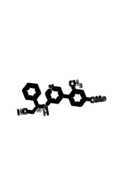 COc1ccc(-c2cncc(N[C@@H](CO)c3ccccc3)c2)c(C)c1